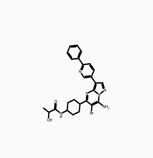 CC(O)C(=O)NC1CCC(c2nc3c(-c4ccc(-c5ccccc5)nc4)cnn3c(N)c2Br)CC1